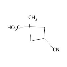 CC1(C(=O)O)CC(C#N)C1